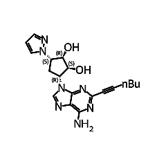 CCCCC#Cc1nc(N)c2ncn([C@@H]3C[C@H](n4cccn4)[C@@H](O)[C@H]3O)c2n1